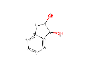 OC1Cc2ccccc2[C@@H]1O